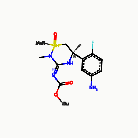 CN[SH]1(=O)C[C@@](C)(c2cc(N)ccc2F)N/C(=N\C(=O)OC(C)(C)C)N1C